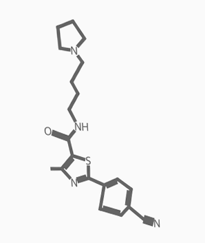 Cc1nc(-c2ccc(C#N)cc2)sc1C(=O)NCCCCN1CCCC1